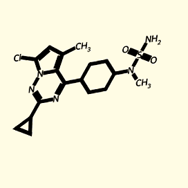 Cc1cc(Cl)n2nc(C3CC3)nc(C3CCC(N(C)S(N)(=O)=O)CC3)c12